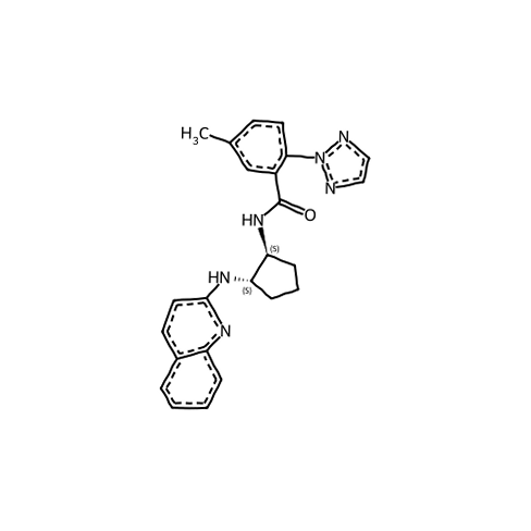 Cc1ccc(-n2nccn2)c(C(=O)N[C@H]2CCC[C@@H]2Nc2ccc3ccccc3n2)c1